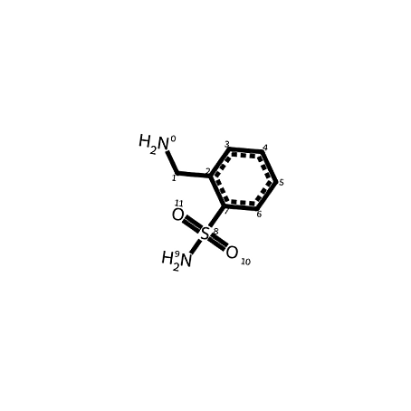 NCc1ccccc1S(N)(=O)=O